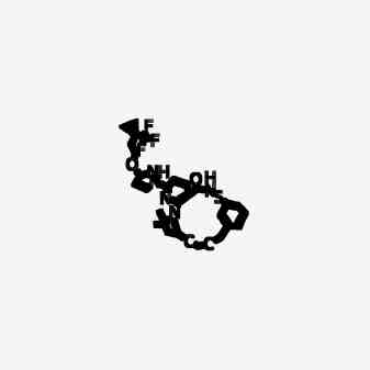 CC1(C)CC2CCCCc3cccc(c3)SNC(=O)c3ccc(N4C=CC(OCCC5(C(F)(F)F)CC5)N4)nc3N1C2